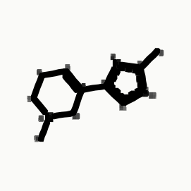 Cc1nc(C2=CCCN(C)C2)cs1